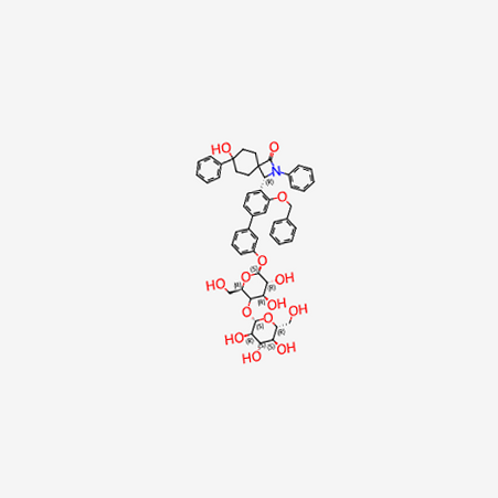 O=C1N(c2ccccc2)[C@H](c2ccc(-c3cccc(O[C@@H]4O[C@H](CO)C(O[C@@H]5O[C@H](CO)[C@@H](O)[C@H](O)[C@H]5O)[C@H](O)[C@H]4O)c3)cc2OCc2ccccc2)C12CCC(O)(c1ccccc1)CC2